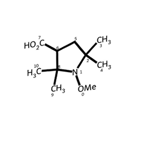 CON1C(C)(C)CC(C(=O)O)C1(C)C